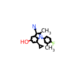 Cc1cc(-n2c(C)c(C#N)c3cc(O)cc(C4CC4)c32)ccc1F